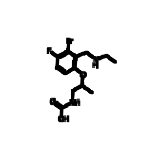 CCNCc1c(OC(C)CNC(=O)O)ccc(F)c1Br